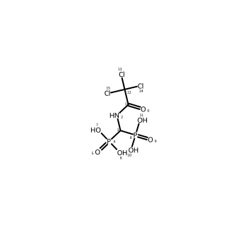 O=C(NC(P(=O)(O)O)P(=O)(O)O)C(Cl)(Cl)Cl